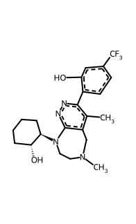 Cc1c(-c2ccc(C(F)(F)F)cc2O)nnc2c1CN(C)CCN2[C@@H]1CCCC[C@H]1O